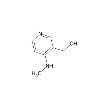 CNc1ccn[c]c1CO